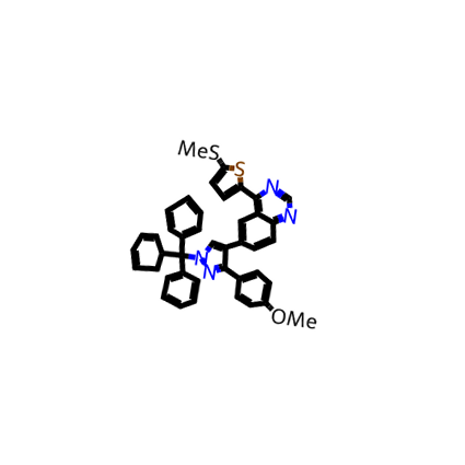 COc1ccc(-c2nn(C(c3ccccc3)(c3ccccc3)C3C=CC=CC3)cc2-c2ccc3ncnc(-c4ccc(SC)s4)c3c2)cc1